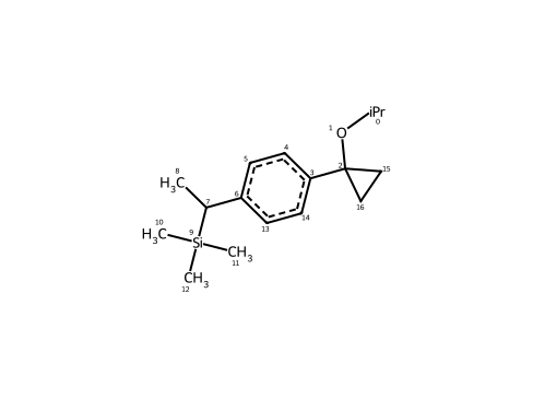 CC(C)OC1(c2ccc(C(C)[Si](C)(C)C)cc2)CC1